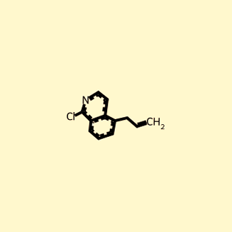 C=CCc1cccc2c(Cl)nccc12